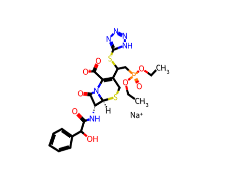 CCOP(=O)(CC(Sc1nnn[nH]1)C1=C(C(=O)[O-])N2C(=O)[C@@H](NC(=O)C(O)c3ccccc3)[C@@H]2SC1)OCC.[Na+]